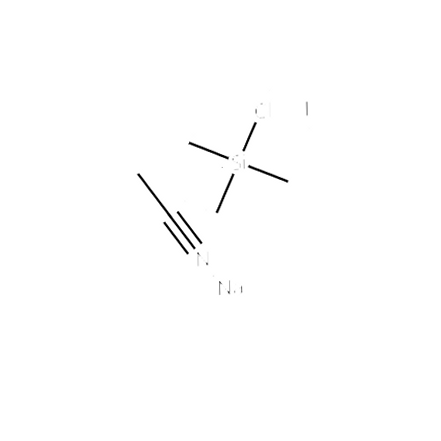 CC#N.C[Si](C)(C)Cl.[I-].[Na+]